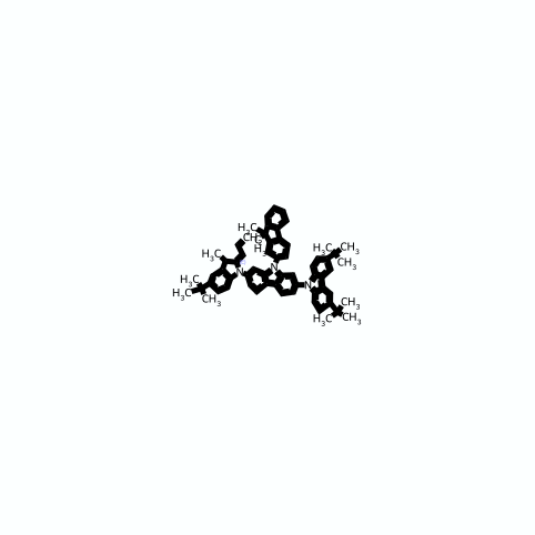 C=C/C=C1\C(C)c2cc(C(C)(C)C)ccc2N1c1ccc2c3ccc(-n4c5ccc(C(C)(C)C)cc5c5cc(C(C)(C)C)ccc54)cc3n(-c3ccc4c(c3)C(C)(C)c3ccccc3-4)c2c1